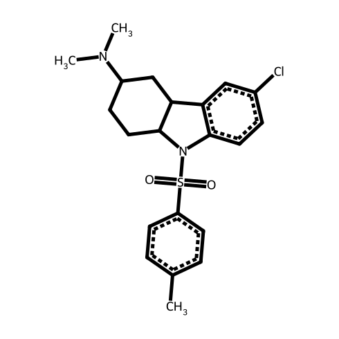 Cc1ccc(S(=O)(=O)N2c3ccc(Cl)cc3C3CC(N(C)C)CCC32)cc1